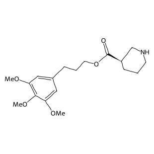 COc1cc(CCCOC(=O)[C@@H]2CCCNC2)cc(OC)c1OC